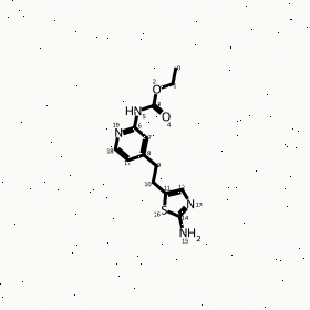 CCOC(=O)Nc1cc(CCc2cnc(N)s2)ccn1